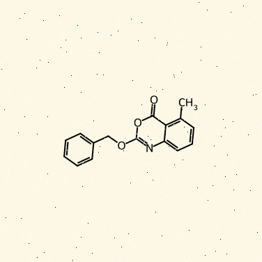 Cc1cccc2nc(OCc3ccccc3)oc(=O)c12